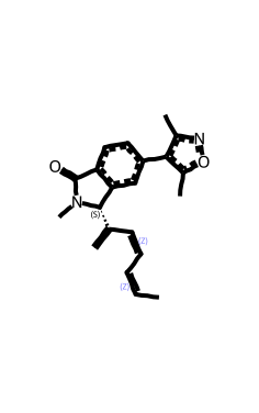 C=C(/C=C\C=C/C)[C@H]1c2cc(-c3c(C)noc3C)ccc2C(=O)N1C